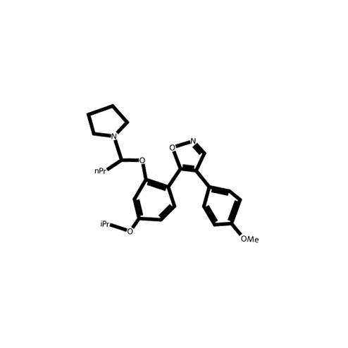 CCCC(Oc1cc(OC(C)C)ccc1-c1oncc1-c1ccc(OC)cc1)N1CCCC1